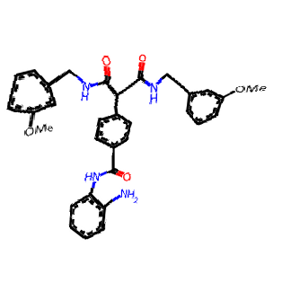 COc1cccc(CNC(=O)C(C(=O)NCc2cccc(OC)c2)c2ccc(C(=O)Nc3ccccc3N)cc2)c1